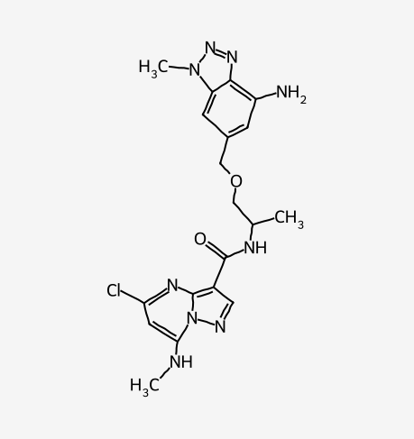 CNc1cc(Cl)nc2c(C(=O)NC(C)COCc3cc(N)c4nnn(C)c4c3)cnn12